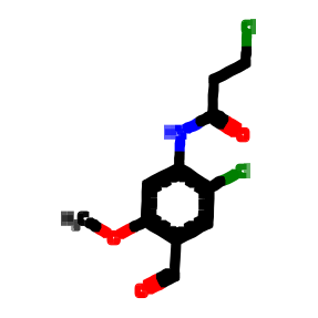 COc1cc(NC(=O)CCCl)c(Cl)cc1C=O